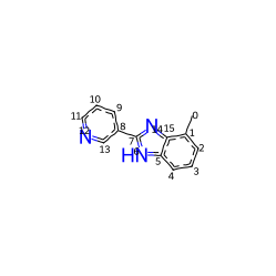 Cc1cccc2[nH]c(-c3cccnc3)nc12